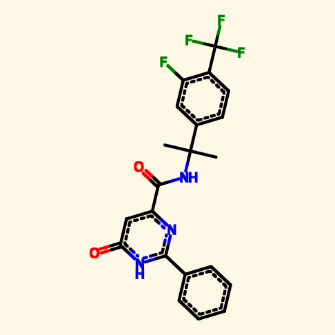 CC(C)(NC(=O)c1cc(=O)[nH]c(-c2ccccc2)n1)c1ccc(C(F)(F)F)c(F)c1